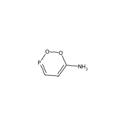 NC1=CC=POO1